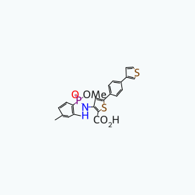 COP(=O)(Nc1cc(-c2ccc(-c3ccsc3)cc2)sc1C(=O)O)c1ccc(C)cc1C